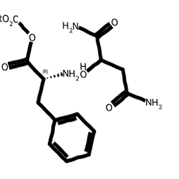 CCOC(=O)OC(=O)[C@H](N)Cc1ccccc1.NC(=O)CC(O)C(N)=O